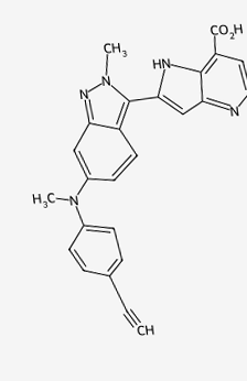 C#Cc1ccc(N(C)c2ccc3c(-c4cc5nccc(C(=O)O)c5[nH]4)n(C)nc3c2)cc1